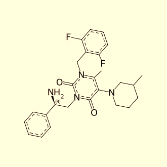 Cc1c(N2CCCC(C)C2)c(=O)n(C[C@H](N)c2ccccc2)c(=O)n1Cc1c(F)cccc1F